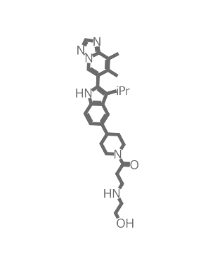 Cc1c(-c2[nH]c3ccc(C4CCN(C(=O)CCNCCO)CC4)cc3c2C(C)C)cn2ncnc2c1C